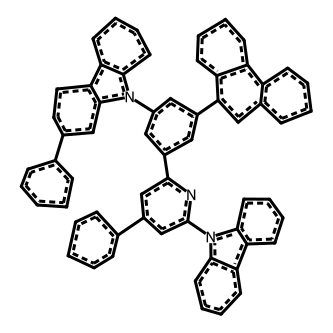 c1ccc(-c2cc(-c3cc(-c4cc5ccccc5c5ccccc45)cc(-n4c5ccccc5c5ccc(-c6ccccc6)cc54)c3)nc(-n3c4ccccc4c4ccccc43)c2)cc1